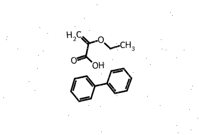 C=C(OCC)C(=O)O.c1ccc(-c2ccccc2)cc1